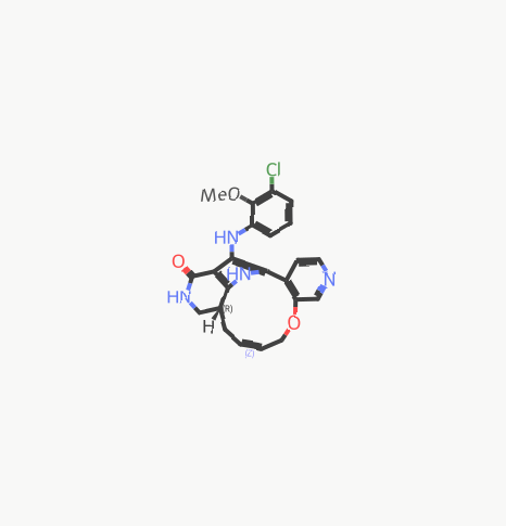 COc1c(Cl)cccc1Nc1c2[nH]c3c1C(=O)NC[C@H]3C/C=C\COc1cnccc1-2